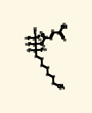 CCCCCCCCC(F)(F)C(F)(OC(=O)C=CC(=O)O)C(F)(F)F